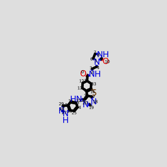 O=C(NCCN1CCNC1=O)C1CCc2c(sc3ncnc(Nc4ccc5[nH]ncc5c4)c23)C1